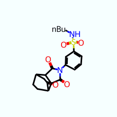 CCCCNS(=O)(=O)c1cccc(N2C(=O)C3C4CCC(C(=O)C4)C3C2=O)c1